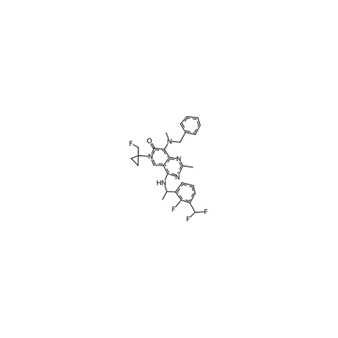 Cc1nc(NC(C)c2cccc(C(F)F)c2F)c2cn(C3(CF)CC3)c(=O)c(N(C)Cc3ccccc3)c2n1